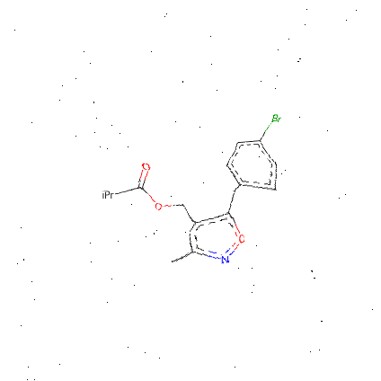 Cc1noc(-c2ccc(Br)cc2)c1COC(=O)C(C)C